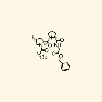 CC(C)(C)OC(=O)N1C[C@H](F)C[C@H]1C(=O)N1CCC[C@H]1C(=O)NCC(=O)OCc1ccccc1